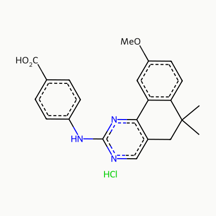 COc1ccc2c(c1)-c1nc(Nc3ccc(C(=O)O)cc3)ncc1CC2(C)C.Cl